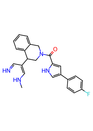 CN/C=C(\C=N)C1CN(C(=O)c2cc(-c3ccc(F)cc3)c[nH]2)Cc2ccccc21